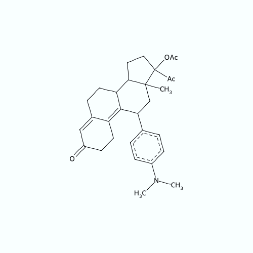 CC(=O)OC1(C(C)=O)CCC2C3CCC4=CC(=O)CCC4=C3C(c3ccc(N(C)C)cc3)CC21C